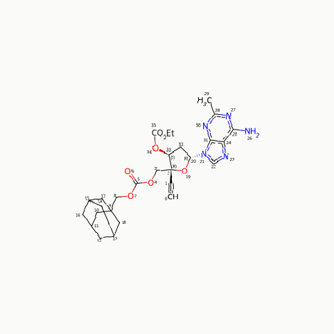 C#C[C@]1(COC(=O)OCC23CC4CC(CC(C4)C2)C3)O[C@@H](n2cnc3c(N)nc(C)nc32)C[C@@H]1OC(=O)OCC